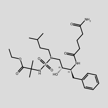 CCOC(=O)C(C)(C)NS(=O)(=O)N(CCC(C)C)C[C@@H](O)[C@H](Cc1ccccc1)NC(=O)CCCC(N)=O